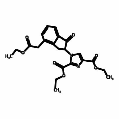 CCOC(=O)Cc1cccc2c1CC(n1cc(C(=O)OCC)nc1C(=O)OCC)C2=O